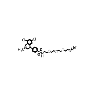 CN1Cc2c(Cl)cc(Cl)cc2C(c2ccc(S(=O)(=O)NCCOCCOCCOCCN=[N+]=[N-])cc2)C1